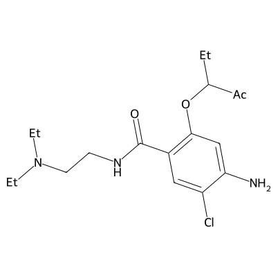 CCC(Oc1cc(N)c(Cl)cc1C(=O)NCCN(CC)CC)C(C)=O